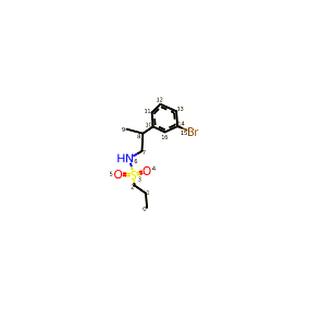 CCCS(=O)(=O)NCC(C)c1cccc(Br)c1